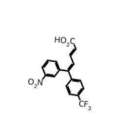 O=C(O)C=CC=C(c1ccc(C(F)(F)F)cc1)c1cccc([N+](=O)[O-])c1